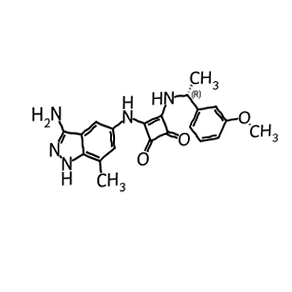 COc1cccc([C@@H](C)Nc2c(Nc3cc(C)c4[nH]nc(N)c4c3)c(=O)c2=O)c1